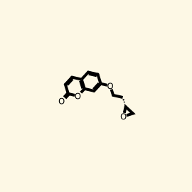 O=c1ccc2ccc(OCC[C@@H]3CO3)cc2o1